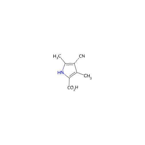 Cc1[nH]c(C(=O)O)c(C)c1C#N